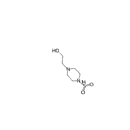 O=[SH](=O)N1CCN(CCO)CC1